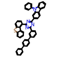 c1ccc(-c2ccc(-c3cccc(-c4nc(-c5ccc6c7ccccc7n(-c7ccccc7)c6c5)nc(-c5cccc6sc7ccccc7c56)n4)c3)cc2)cc1